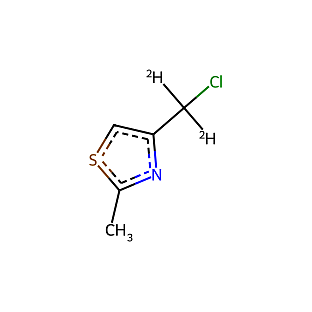 [2H]C([2H])(Cl)c1csc(C)n1